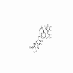 CCC(Oc1ccc(CC(=O)NC(CC(C)C)c2ccccc2N2CCCCC2)cc1)C(=O)O